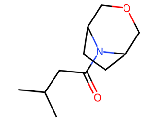 CC(C)CC(=O)N1C2CCC1COC2